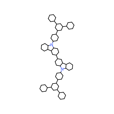 C1CCC(C2CC(C3CCCCC3)CC(C3CCC(N4C5CCCCC5C5CC(C6CCC7C(C6)C6CCCCC6N7C6CCC(C7CC(C8CCCCC8)CC(C8CCCCC8)C7)CC6)CCC54)CC3)C2)CC1